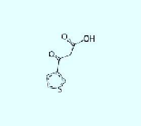 O=C(O)CC(=O)c1ccsc1